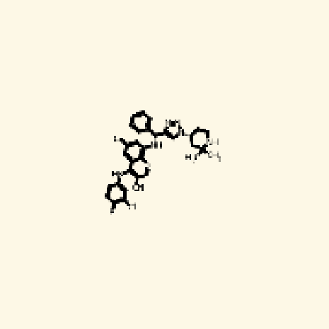 CC1(C)C[C@H](n2cc([C@H](Nc3cc(Cl)cc4c(Nc5ccc(F)c(Cl)c5)c(C#N)cnc34)c3ccccc3)nn2)CCN1